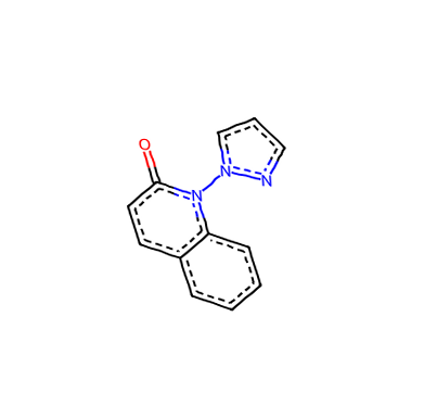 O=c1ccc2ccccc2n1-n1cccn1